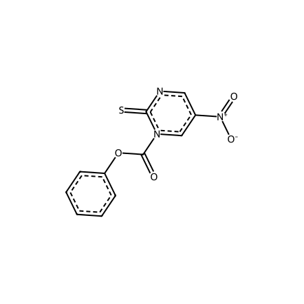 O=C(Oc1ccccc1)n1cc([N+](=O)[O-])cnc1=S